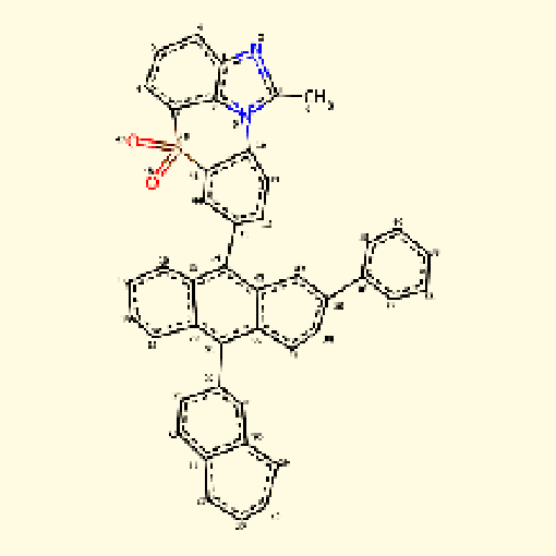 Cc1nc2cccc3c2n1-c1ccc(-c2c4ccccc4c(-c4ccc5ccccc5c4)c4ccc(-c5ccccc5)cc24)cc1S3(=O)=O